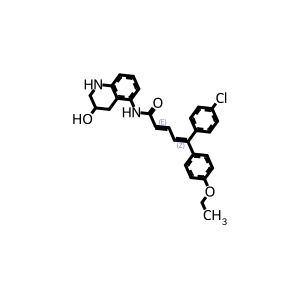 CCOc1ccc(/C(=C/C=C/C(=O)Nc2cccc3c2CC(O)CN3)c2ccc(Cl)cc2)cc1